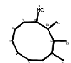 CC1CCCCCCC(N=O)C(C)C1C